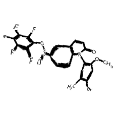 COc1cc(Br)c(C)cc1-n1c(=O)ccc2cc(S(=O)Oc3c(F)c(F)c(F)c(F)c3F)ccc21